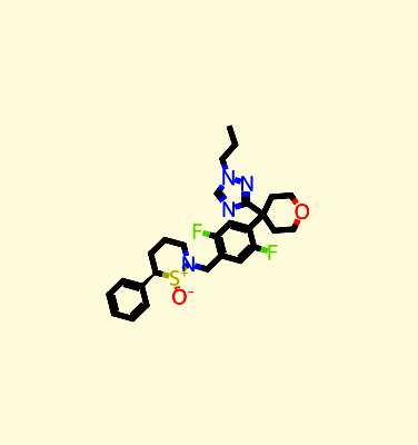 CCCn1cnc(C2(c3cc(F)c(CN4CCC[C@H](c5ccccc5)[S+]4[O-])cc3F)CCOCC2)n1